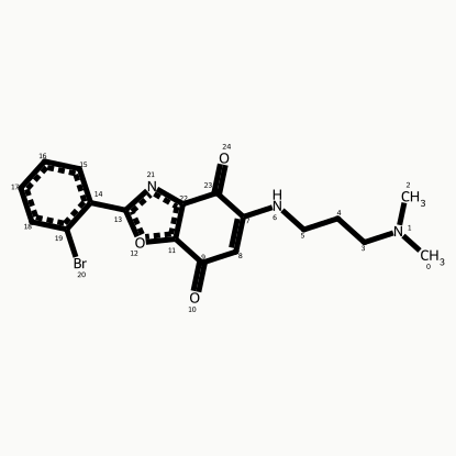 CN(C)CCCNC1=CC(=O)c2oc(-c3ccccc3Br)nc2C1=O